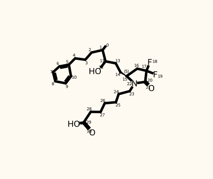 CC(CCCc1ccccc1)C(O)CC[C@H]1CC(F)(F)C(=O)N1CCCCCCC(=O)O